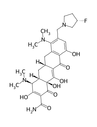 CN(C)c1c(CN2CC[C@H](F)C2)cc(O)c2c1C[C@H]1C[C@H]3[C@H](N(C)C)C(O)=C(C(N)=O)C(=O)[C@@]3(O)C(O)=C1C2=O